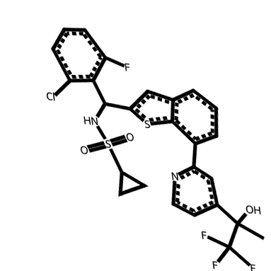 CC(O)(c1ccnc(-c2cccc3cc(C(NS(=O)(=O)C4CC4)c4c(F)cccc4Cl)sc23)c1)C(F)(F)F